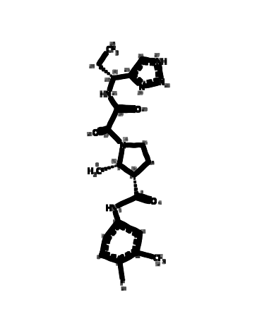 C[C@H]1[C@@H](C(=O)Nc2ccc(F)c(C(F)(F)F)c2)CCN1C(=O)C(=O)N[C@H](CC(F)(F)F)c1c[nH]nn1